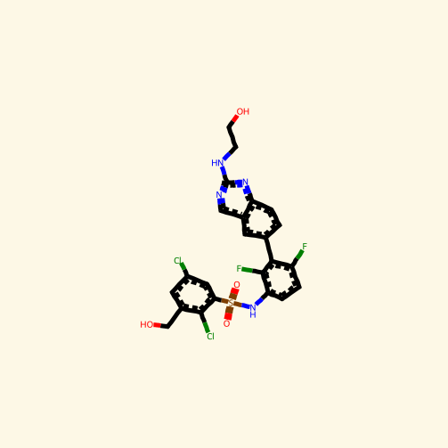 O=S(=O)(Nc1ccc(F)c(-c2ccc3nc(NCCO)ncc3c2)c1F)c1cc(Cl)cc(CO)c1Cl